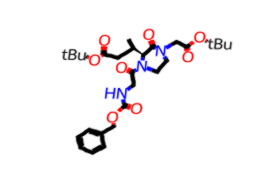 CC(CC(=O)OC(C)(C)C)[C@H]1C(=O)N(CC(=O)OC(C)(C)C)CCN1C(=O)CNC(=O)OCc1ccccc1